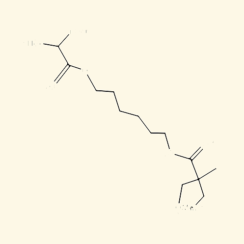 CCCCCCCCC(CCCCCC)C(=O)OCCCCCCOC(=O)C(C)(COC)COC(C)=O